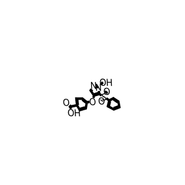 O=C(O)c1ccc(Oc2cnn(O)c2S(=O)(=O)c2ccccc2)cc1